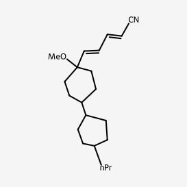 CCCC1CCC(C2CCC(C=CC=CC#N)(OC)CC2)CC1